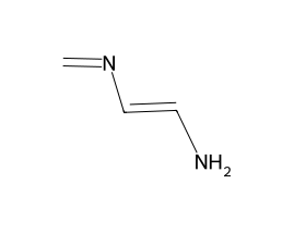 C=NC=CN